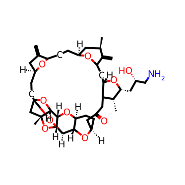 C=C1C[C@@H]2CCC34C[C@@]5(C)O[C@H]6[C@@H](O3)[C@H]3O[C@H](CC[C@@H]3O[C@H]6[C@H]5O4)CC(=O)CC3[C@H](CC4O[C@@H](CCC1O2)C[C@@H](C)C4=C)O[C@H](C[C@H](O)CN)[C@@H]3C